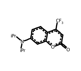 CC(C)N(c1ccc2c(C(F)(F)F)cc(=O)oc2c1)C(C)C